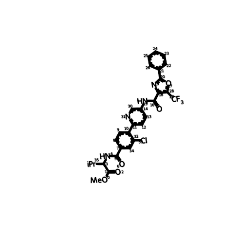 COC(=O)C(NC(=O)c1ccc(-c2ccc(NC(=O)c3nc(-c4ccccc4)oc3C(F)(F)F)cn2)c(Cl)c1)C(C)C